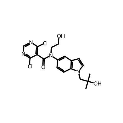 CC(C)(O)Cn1ccc2cc(N(CCO)C(=O)c3c(Cl)ncnc3Cl)ccc21